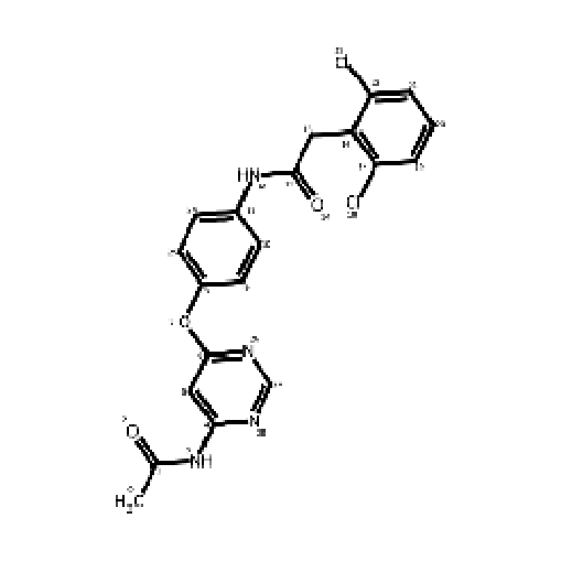 CC(=O)Nc1cc(Oc2ccc(NC(=O)Cc3c(Cl)cccc3Cl)cc2)ncn1